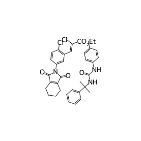 CCOC(=O)/C(Cl)=C/c1cc(N2C(=O)C3=C(CCCC3)C2=O)ccc1Cl.Cc1ccc(NC(=O)NC(C)(C)c2ccccc2)cc1